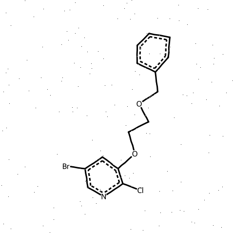 Clc1ncc(Br)cc1OCCOCc1ccccc1